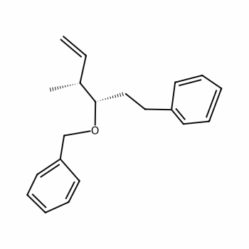 C=C[C@@H](C)[C@H](CCc1ccccc1)OCc1ccccc1